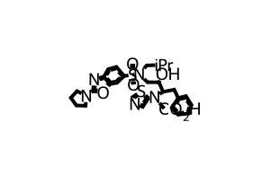 CC(C)CN(CC(O)C(Cc1ccccc1)N(C(=O)O)c1cncs1)S(=O)(=O)c1ccc2nc(N3CCCC3)oc2c1